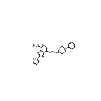 Nc1ncc(CCCN2CCN(c3ccccc3)CC2)c2nc(-c3ccco3)nn12